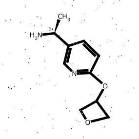 C[C@H](N)c1ccc(OC2COC2)nc1